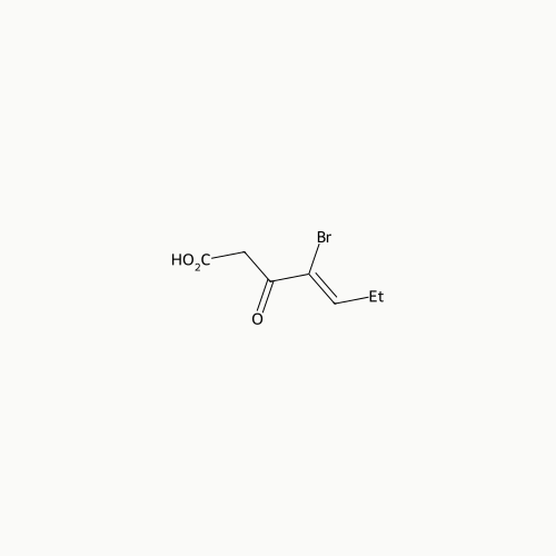 CCC=C(Br)C(=O)CC(=O)O